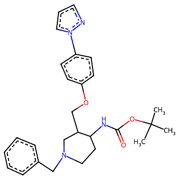 CC(C)(C)OC(=O)NC1CCN(Cc2ccccc2)CC1COc1ccc(-n2cccn2)cc1